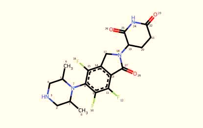 CC1CNCC(C)N1c1c(F)c(F)c2c(c1F)CN(C1CCC(=O)NC1=O)C2=O